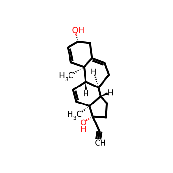 C#C[C@]1(O)CC[C@H]2[C@@H]3CC=C4C[C@@H](O)C=C[C@]4(C)[C@H]3C=C[C@@]21C